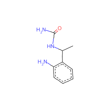 CC(NC(N)=O)c1ccccc1N